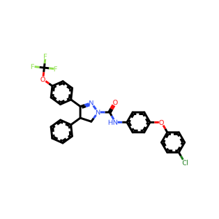 O=C(Nc1ccc(Oc2ccc(Cl)cc2)cc1)N1CC(c2ccccc2)C(c2ccc(OC(F)(F)F)cc2)=N1